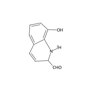 [2H]N1c2c(O)cccc2C=CC1C=O